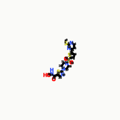 CSc1nccc(-c2ccc(S(=O)(=O)N3CCN(c4ncc(C(=O)NO)s4)CC3)s2)n1